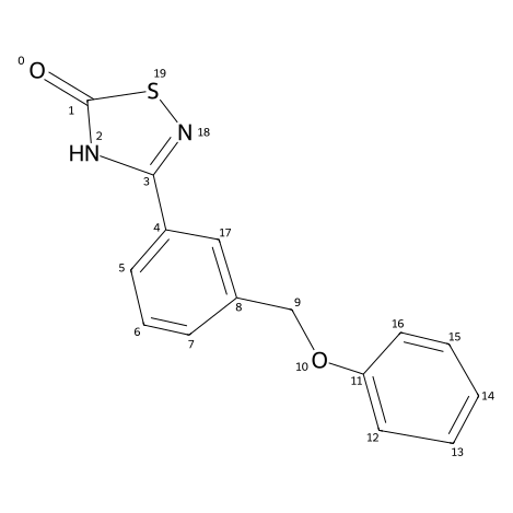 O=c1[nH]c(-c2cccc(COc3ccccc3)c2)ns1